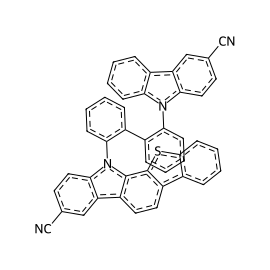 N#Cc1ccc2c(c1)c1ccccc1n2-c1ccccc1-c1ccccc1-n1c2ccc(C#N)cc2c2ccc3c4ccccc4sc3c21